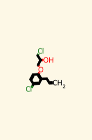 C=CCc1cc(Cl)ccc1OCC(O)CCl